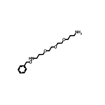 NCCCOCCOCCOCCCNOCc1ccccc1